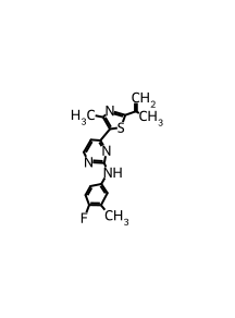 C=C(C)c1nc(C)c(-c2ccnc(Nc3ccc(F)c(C)c3)n2)s1